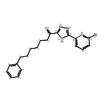 O=C(CCCCCCc1ccccc1)c1nnc(-c2cccc(Br)n2)[nH]1